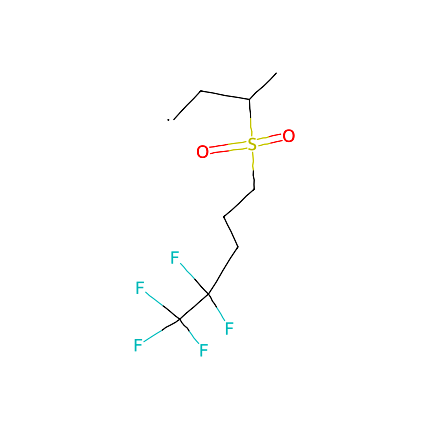 [CH2]CC(C)S(=O)(=O)CCCC(F)(F)C(F)(F)F